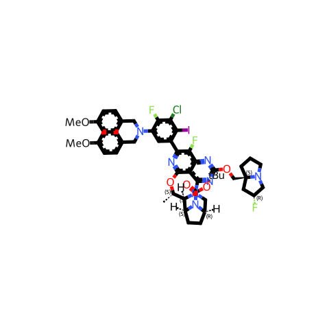 COc1ccc(CN(Cc2ccc(OC)cc2)c2cc(-c3nc4c5c(nc(OC[C@@]67CCCN6C[C@H](F)C7)nc5c3F)N3C[C@H]5CC[C@@H]([C@H]3[C@H](C)O4)N5C(=O)OC(C)(C)C)c(I)c(Cl)c2F)cc1